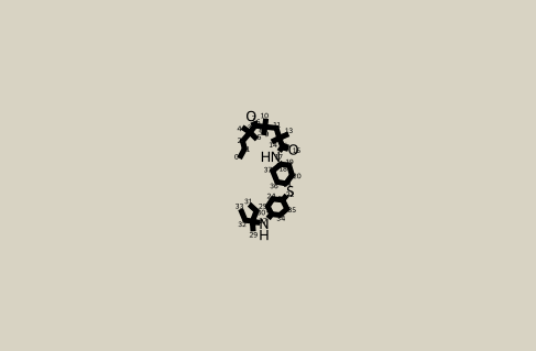 CCCC(C)(C)C(=O)C(C)(C)CC(C)(C)C(=O)NC1CCC(SC2CCC(NC(C)(CC)CC)CC2)CC1